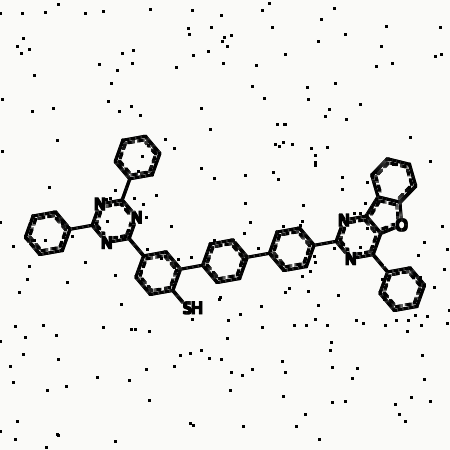 Sc1ccc(-c2nc(-c3ccccc3)nc(-c3ccccc3)n2)cc1-c1ccc(-c2ccc(-c3nc(-c4ccccc4)c4oc5ccccc5c4n3)cc2)cc1